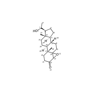 CC(O)[C@H]1CC[C@H]2[C@@H]3CCC45OC4C(=O)CC[C@]5(C)[C@H]3CC[C@]12C